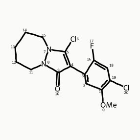 COc1cc(-c2c(Cl)n3n(c2=O)CCCCC3)c(F)cc1Cl